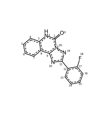 O=c1[nH]c2ccccc2c2nc(-c3ccccc3F)nn12